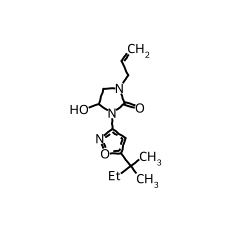 C=CCN1CC(O)N(c2cc(C(C)(C)CC)on2)C1=O